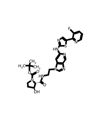 CC(C)(C)OC(=O)N1CC[C@H](O)[C@H]1C(=O)NCCn1cnc2cnc(Nc3ncc(-c4ncccc4F)s3)cc21